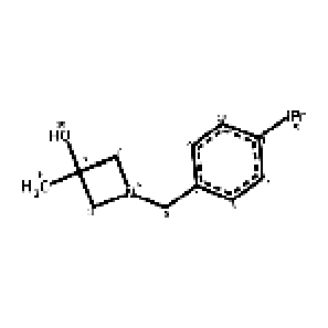 CC(C)c1ccc(CN2CC(C)(O)C2)cc1